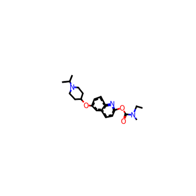 CCN(C)C(=O)Oc1ccc2cc(OC3CCN(C(C)C)CC3)ccc2n1